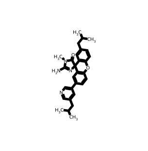 CC(C)Cc1cncc(-c2ccc3c(c2)C2(N=C(N)N(C)C2=O)c2cc(CC(C)C)ccc2O3)c1